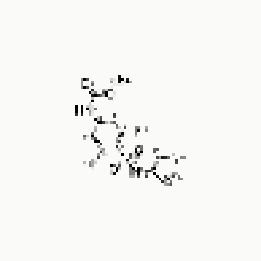 CC(C)(C)OC(=O)Nc1cc(F)c(S(=O)(=O)Nc2cscn2)c(F)c1